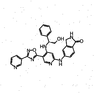 O=C1NCc2cc(Nc3cc(N[C@H](CO)c4ccccc4)c(-c4nc(-c5cccnc5)no4)cn3)ccc21